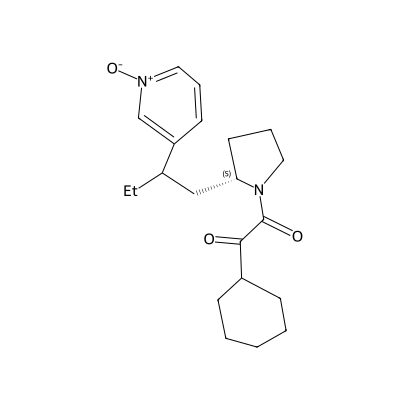 CCC(C[C@@H]1CCCN1C(=O)C(=O)C1CCCCC1)c1ccc[n+]([O-])c1